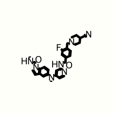 CNC(=O)n1ccc2cc(N(C)c3ccnc(NC(=O)c4ccc(CN5CCC(C#N)CC5)c(F)c4)c3)ccc21